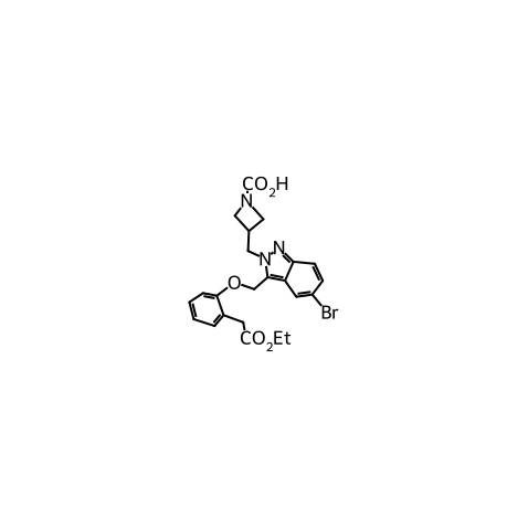 CCOC(=O)Cc1ccccc1OCc1c2cc(Br)ccc2nn1CC1CN(C(=O)O)C1